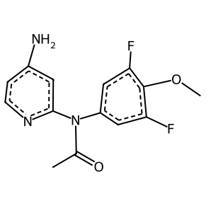 COc1c(F)cc(N(C(C)=O)c2cc(N)ccn2)cc1F